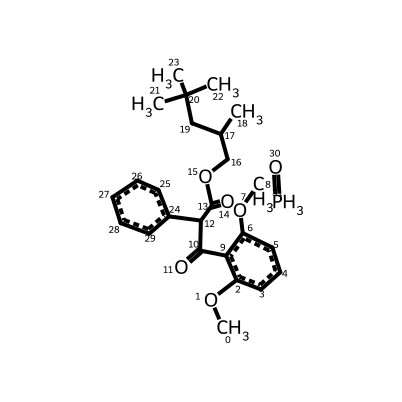 COc1cccc(OC)c1C(=O)C(C(=O)OCC(C)CC(C)(C)C)c1ccccc1.O=[PH3]